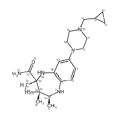 C[C@@H]1Nc2ccc(N3CCN(CC4CC4)CC3)cc2NC(C)(C(N)=O)[C@@]1(C)S